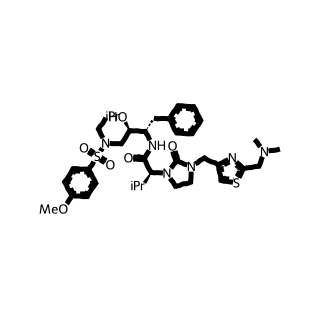 COc1ccc(S(=O)(=O)N(CC(C)C)C[C@@H](O)[C@H](Cc2ccccc2)NC(=O)[C@H](C(C)C)N2CCN(Cc3csc(CN(C)C)n3)C2=O)cc1